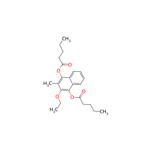 CCCCC(=O)Oc1c(C)c(OCC)c(OC(=O)CCCC)c2ccccc12